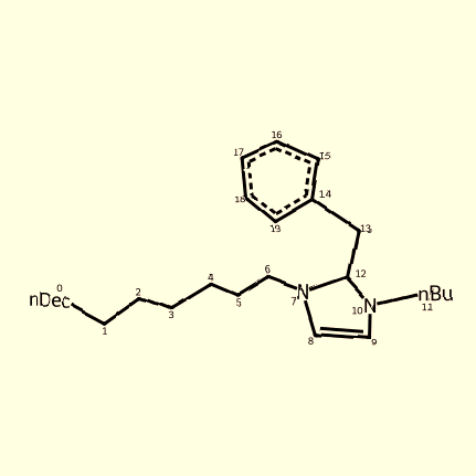 CCCCCCCCCCCCCCCCN1C=CN(CCCC)C1Cc1ccccc1